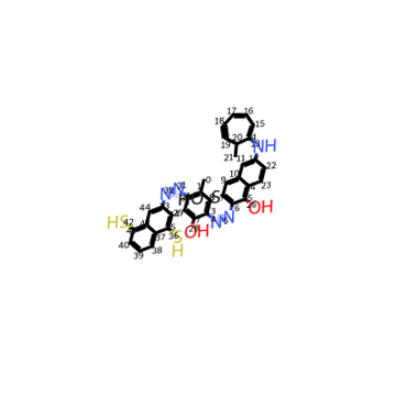 Cc1cc(/N=N\c2c(S(=O)(=O)O)cc3cc(NC4=CC=CC#CC4C)ccc3c2O)c(O)cc1/N=N\c1cc(S)c2cccc(S)c2c1